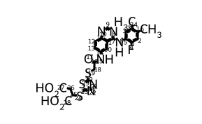 Cc1cc(F)c(Nc2ncnc3ccc(NC(=O)CSc4nnc(SC(CC(=O)O)C(=O)O)s4)cc23)cc1C